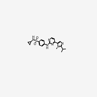 CC(C)c1ncc(-c2ccnc(Nc3ccc(S(=O)(=O)NC4CC4)cc3)n2)n1C